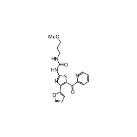 COCCCNC(=O)Nc1nc(-c2ccco2)c(C(=O)c2ccccn2)s1